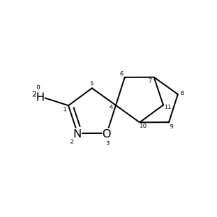 [2H]C1=NOC2(C1)CC1CCC2C1